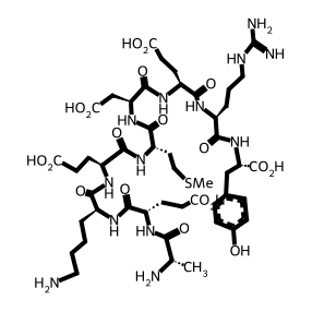 CSCC[C@H](NC(=O)[C@H](CCC(=O)O)NC(=O)[C@H](CCCCN)NC(=O)[C@H](CCC(=O)O)NC(=O)[C@H](C)N)C(=O)N[C@@H](CC(=O)O)C(=O)N[C@@H](CCC(=O)O)C(=O)N[C@@H](CCCNC(=N)N)C(=O)N[C@@H](Cc1ccc(O)cc1)C(=O)O